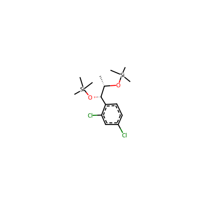 C[C@H](O[Si](C)(C)C)[C@@H](O[Si](C)(C)C)c1ccc(Cl)cc1Cl